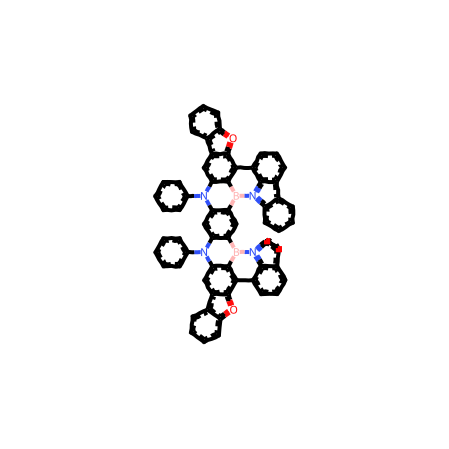 c1ccc(N2c3cc4c(cc3B3c5c2cc2c(oc6ccccc62)c5-c2cccc5c6ccccc6n3c25)B2c3c(cc5c(oc6ccccc65)c3-c3cccc5c6ccccc6n2c35)N4c2ccccc2)cc1